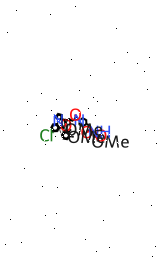 COC(=O)CNC(=O)CC1CCN(C(=O)CC[C@H]2O[C@H](c3cccc(OC)c3OC)c3cc(Cl)ccc3-n3cccc32)CC1